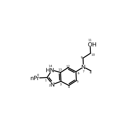 CCCc1nc2ccc(N(C)CCO)cc2[nH]1